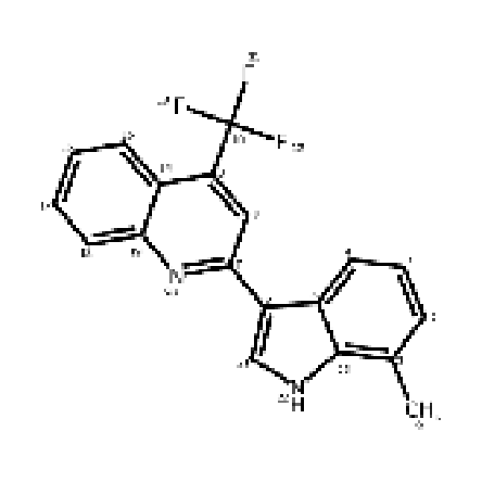 Cc1cccc2c(-c3cc(C(F)(F)F)c4ccccc4n3)c[nH]c12